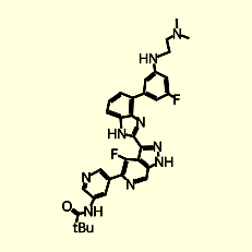 CN(C)CCNc1cc(F)cc(-c2cccc3[nH]c(-c4n[nH]c5cnc(-c6cncc(NC(=O)C(C)(C)C)c6)c(F)c45)nc23)c1